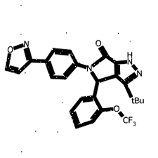 CC(C)(C)c1n[nH]c2c1C(c1ccccc1OC(F)(F)F)N(c1ccc(-c3ccon3)cc1)C2=O